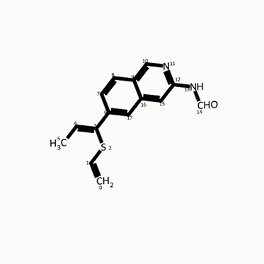 C=CS/C(=C\C)c1ccc2cnc(NC=O)cc2c1